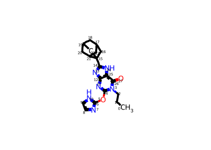 CCCn1c(Oc2ncc[nH]2)nc2nc(C34CC5CC(CC3C5)C4)[nH]c2c1=O